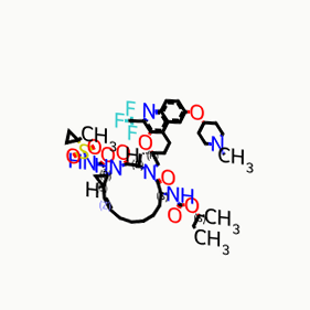 CC[C@H](C)OC(=O)N[C@H]1CCCCC/C=C\[C@@H]2C[C@@]2(C(=O)NS(=O)(=O)C2(C)CC2)NC(=O)[C@@H]2C[C@]3(CCc4c(c(C(F)(F)F)nc5ccc(OC6CCN(C)CC6)cc45)O3)CN2C1=O